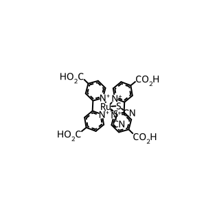 N#C[S][Ru]12([S]C#N)([n+]3ccc(C(=O)O)cc3-c3cc(C(=O)O)cc[n+]31)[n+]1ccc(C(=O)O)cc1-c1cc(C(=O)O)cc[n+]12